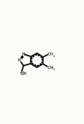 Cc1cc2c(cc1C)C(C(C)(C)C)N=N2